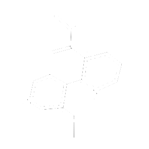 CCc1cnccc1-c1ncccc1C(=O)C=O